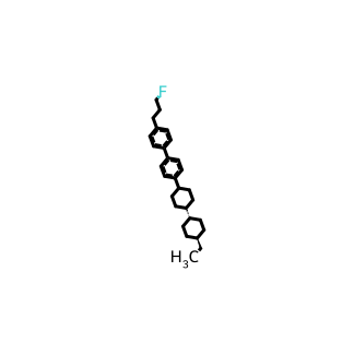 CC[C@H]1CC[C@H](C2CCC(c3ccc(-c4ccc(CCCF)cc4)cc3)CC2)CC1